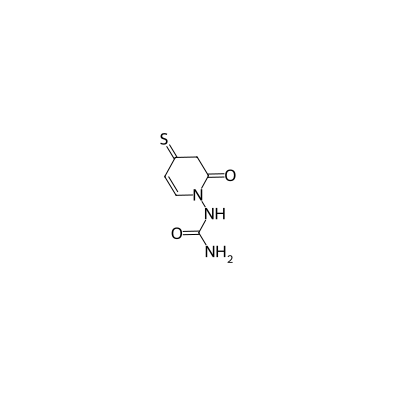 NC(=O)NN1C=CC(=S)CC1=O